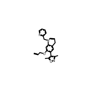 C=CCOc1cc2c(cc1-c1c(C)noc1C)CC=CN2Cc1ccccn1